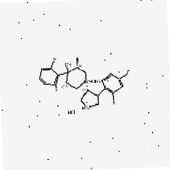 C[C@H]1C[N+](C=O)([C@H]2CNCC2c2ccc(F)cc2F)C[C@H](C)C1(O)c1c(F)cccc1F.Cl